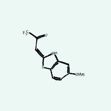 COc1ccc2c(c1)N/C(=C\C(=O)C(F)(F)F)S2